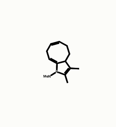 CNN1C(C)=C(C)C2CC/C=C\C/C=C\21